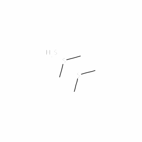 CSC.CSC.S